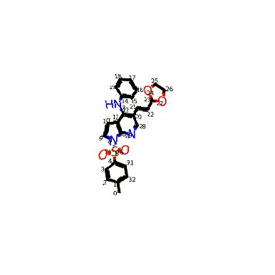 Cc1ccc(S(=O)(=O)n2ccc3c(Nc4ccccc4)c(C=CC4OCCO4)cnc32)cc1